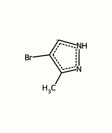 Cc1n[nH][c]c1Br